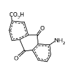 Nc1cccc2c1C(=O)c1cc(C(=O)O)ccc1C2=O